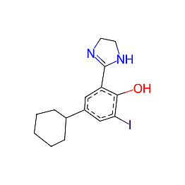 Oc1c(I)cc(C2CCCCC2)cc1C1=NCCN1